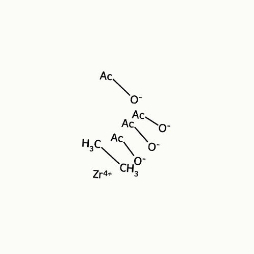 CC.CC(=O)[O-].CC(=O)[O-].CC(=O)[O-].CC(=O)[O-].[Zr+4]